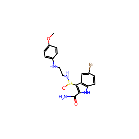 COc1ccc(NCCN[S+]([O-])c2c(C(N)=O)[nH]c3ccc(Br)cc23)cc1